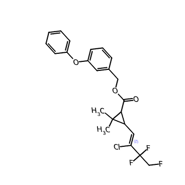 CC1(C)C(/C=C(\Cl)C(F)(F)CF)C1C(=O)OCc1cccc(Oc2ccccc2)c1